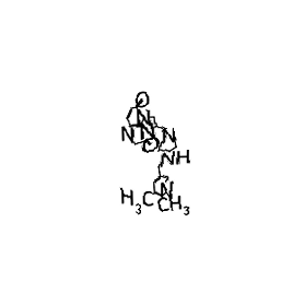 Cc1cc(CNC2CCN(CC3Cn4c(=O)ccc5ncc(=O)n3c54)CC2)cnc1C